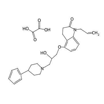 C=CCN1C(=O)CCc2c(OCC(O)CN3CCC(c4ccccc4)CC3)cccc21.O=C(O)C(=O)O